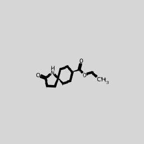 CCOC(=O)[C@H]1CC[C@]2(CCC(=O)N2)CC1